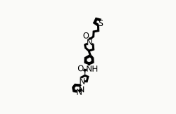 O=C(Nc1ccc(C2CCN(C(=O)CCCc3cccs3)CC2)cc1)[C@H]1CCN(c2cccnn2)C1